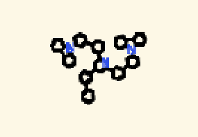 C1=CC(c2cc(-c3cccc(-c4ccccc4)c3)cc(-c3cccc(-c4cccc(-n5c6ccccc6c6ccccc65)c4)c3)n2)=CC(c2cccc(-n3c4ccccc4c4ccccc43)c2)C1